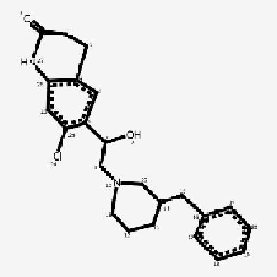 O=C1CCc2cc(C(O)CN3CCCC(Cc4ccccc4)C3)c(Cl)cc2N1